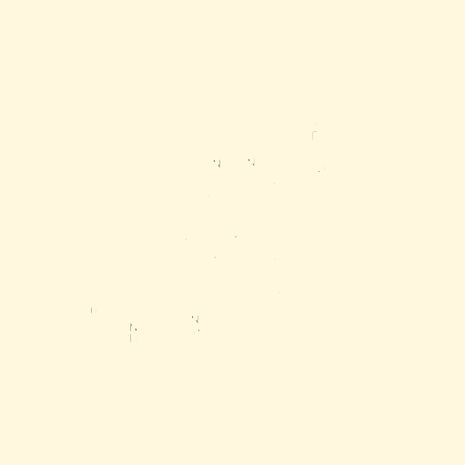 CCCNc1ccc2c(-c3cn(C)nc3-c3ccccc3F)cccc2n1